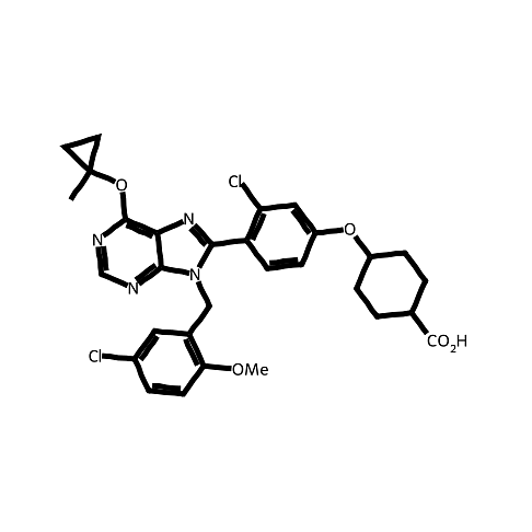 COc1ccc(Cl)cc1Cn1c(-c2ccc(OC3CCC(C(=O)O)CC3)cc2Cl)nc2c(OC3(C)CC3)ncnc21